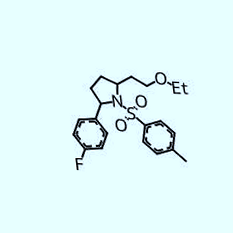 CCOCCC1CCC(c2ccc(F)cc2)N1S(=O)(=O)c1ccc(C)cc1